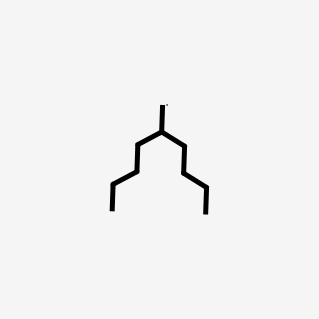 [CH2]C(CCCC)CCCC